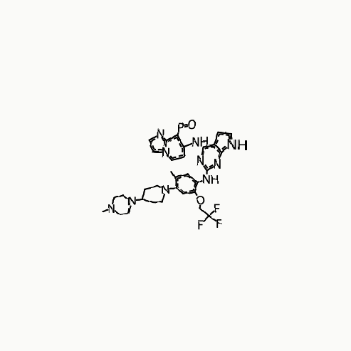 Cc1cc(Nc2nc(Nc3ccn4ccnc4c3P=O)c3cc[nH]c3n2)c(OCC(F)(F)F)cc1N1CCC(N2CCN(C)CC2)CC1